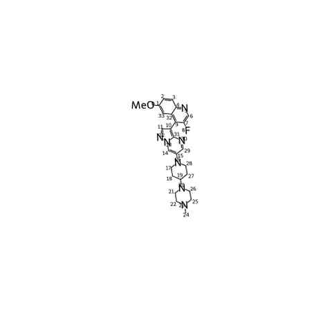 COc1ccc2ncc(F)c(-c3cnn4cc(N5CCC(N6CCN(C)CC6)CC5)cnc34)c2c1